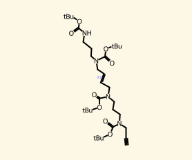 C#CCN(CCCN(C/C=C/CN(CCCNC(=O)OC(C)(C)C)C(=O)OC(C)(C)C)C(=O)OC(C)(C)C)C(=O)OC(C)(C)C